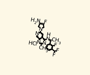 Cc1nc(N[C@H](C)c2cccc(C(F)F)c2F)c2cc(N3C[C@@H](N)[C@@H](F)C3)ncc2n1.Cl